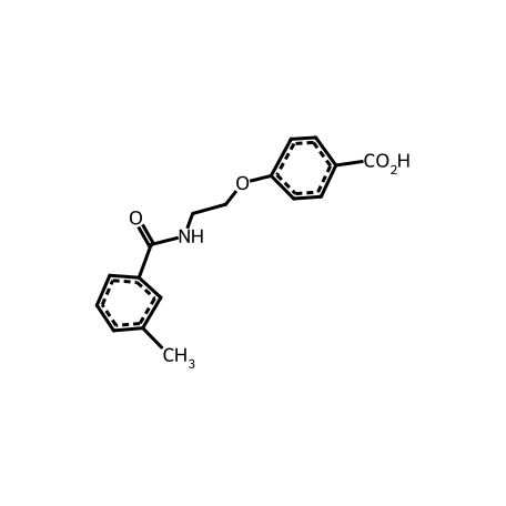 Cc1cccc(C(=O)NCCOc2ccc(C(=O)O)cc2)c1